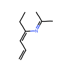 C=C/C=C(/CC)N=C(C)C